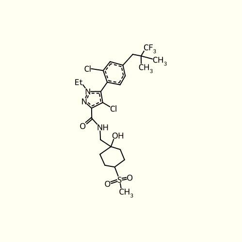 CCn1nc(C(=O)NCC2(O)CCC(S(C)(=O)=O)CC2)c(Cl)c1-c1ccc(CC(C)(C)C(F)(F)F)cc1Cl